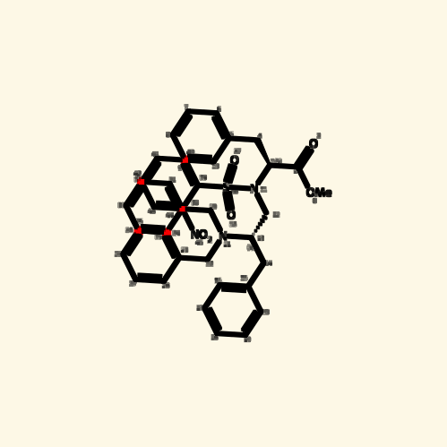 COC(=O)[C@H](Cc1ccccc1)N(C[C@H](Cc1ccccc1)N(Cc1ccccc1)Cc1ccccc1)S(=O)(=O)c1ccccc1[N+](=O)[O-]